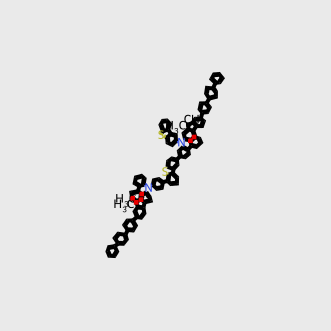 CC1(C)c2cc(-c3ccc(-c4ccc(-c5ccccc5)cc4)cc3)ccc2-c2ccc(N(c3ccc(-c4cccc5c4sc4ccc(-c6ccc(-c7ccccc7)c(N(c7ccc8c(c7)C(C)(C)c7cc(-c9ccc(-c%10ccc(-c%11ccccc%11)cc%10)cc9)ccc7-8)c7ccc8sc9ccccc9c8c7)c6)cc45)cc3)c3ccccc3-c3ccccc3)cc21